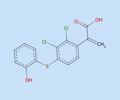 C=C(C(=O)O)c1ccc(Sc2ccccc2O)c(Cl)c1Cl